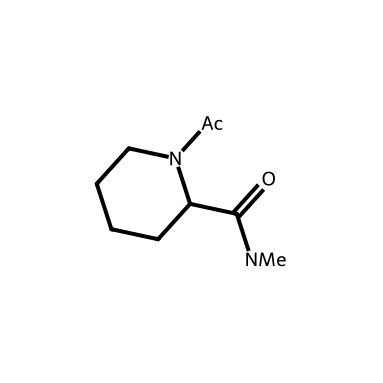 CNC(=O)C1CCCCN1C(C)=O